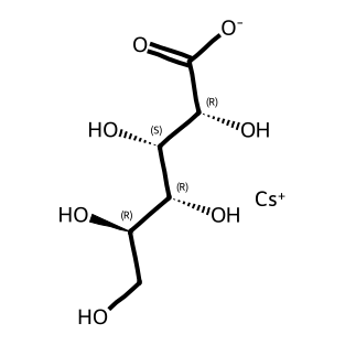 O=C([O-])[C@H](O)[C@@H](O)[C@H](O)[C@H](O)CO.[Cs+]